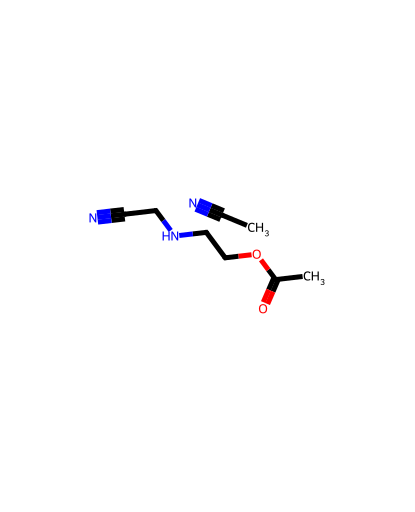 CC#N.CC(=O)OCCNCC#N